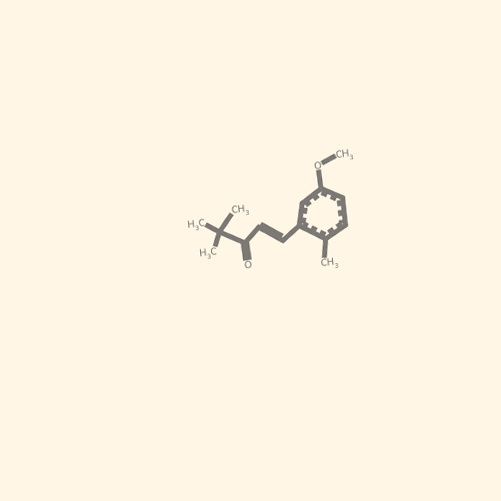 COc1ccc(C)c(/C=C/C(=O)C(C)(C)C)c1